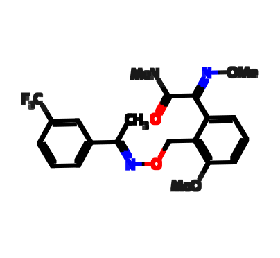 CNC(=O)/C(=N/OC)c1cccc(OC)c1CO/N=C(\C)c1cccc(C(F)(F)F)c1